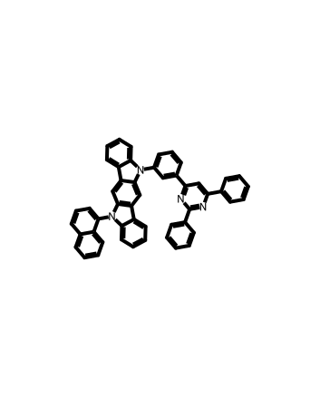 c1ccc(-c2cc(-c3cccc(-n4c5ccccc5c5cc6c(cc54)c4ccccc4n6-c4cccc5ccccc45)c3)nc(-c3ccccc3)n2)cc1